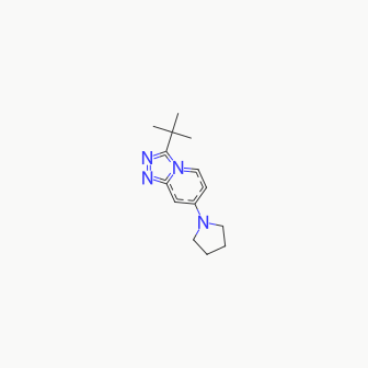 CC(C)(C)c1nnc2cc(N3CCCC3)ccn12